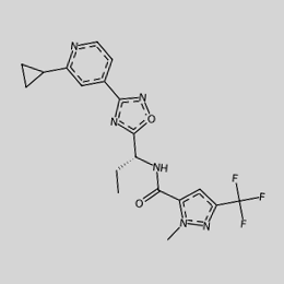 CC[C@@H](NC(=O)c1cc(C(F)(F)F)nn1C)c1nc(-c2ccnc(C3CC3)c2)no1